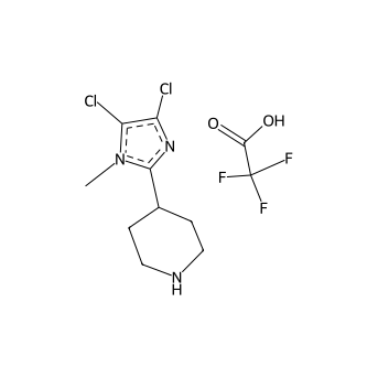 Cn1c(C2CCNCC2)nc(Cl)c1Cl.O=C(O)C(F)(F)F